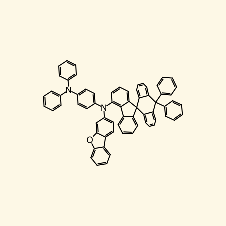 c1ccc(N(c2ccccc2)c2ccc(N(c3ccc4c(c3)oc3ccccc34)c3cccc4c3-c3ccccc3C43c4ccccc4C(c4ccccc4)(c4ccccc4)c4ccccc43)cc2)cc1